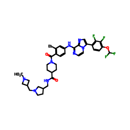 CCc1cc(Nc2nccn3c(-c4ccc(OC(F)F)c(F)c4F)cnc23)ccc1C(=O)N1CCC(C(=O)NCC2CCN(CC3CN(C(=O)O)C3)C2)CC1